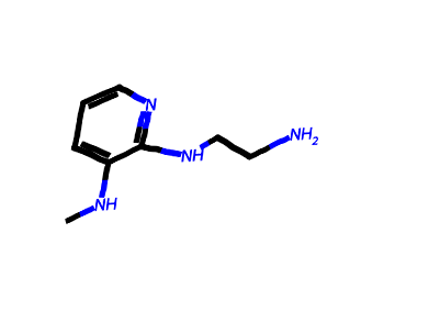 CNc1cccnc1NCCN